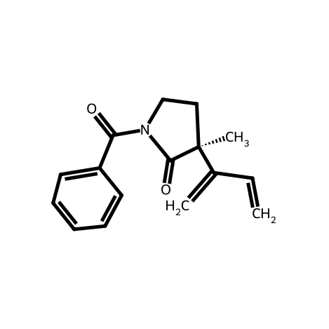 C=CC(=C)[C@]1(C)CCN(C(=O)c2ccccc2)C1=O